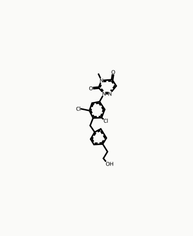 Cn1c(=O)cnn(-c2cc(Cl)c(Cc3ccc(CCO)cc3)c(Cl)c2)c1=O